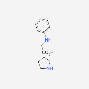 C1CCNC1.O=C(O)CNc1ccccc1